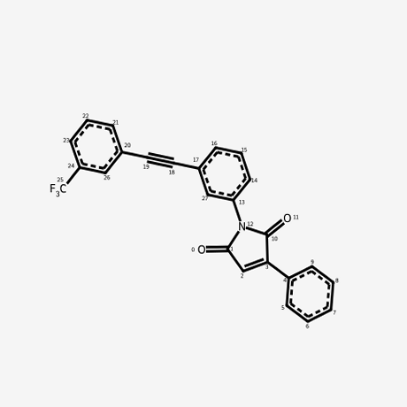 O=C1C=C(c2ccccc2)C(=O)N1c1cccc(C#Cc2cccc(C(F)(F)F)c2)c1